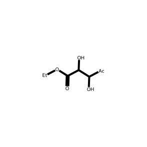 CCOC(=O)C(O)C(O)C(C)=O